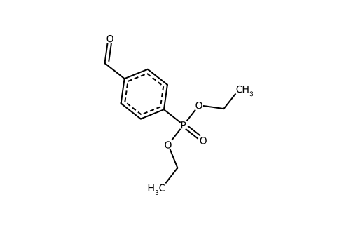 CCOP(=O)(OCC)c1ccc(C=O)cc1